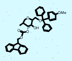 COc1ccc(C(OCC2OCC(C)[C@@H](OC(=O)OCC3c4ccccc4-c4ccccc43)C2O)(c2ccccc2)c2ccccc2)cc1